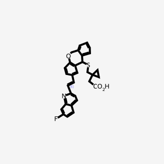 O=C(O)CC1(CSC2c3ccccc3COc3ccc(/C=C/c4ccc5ccc(F)cc5n4)cc32)CC1